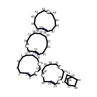 C1=C/CCCCCCCCCC/1.C1=C/CCCCCCCCCC/1.C1=C/CCCCCCCCCC/1.C1=C/CCCCCCCCCC/1.C1CC2CCC1C2